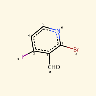 O=Cc1c(I)ccnc1Br